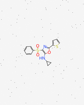 O=S(=O)(c1ccccc1)c1nc(-c2cccs2)oc1NC1CC1